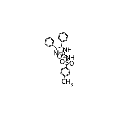 Cc1ccc(S(=O)(=O)NC(=O)N[C@@H](c2ccccc2)[C@@H](N)c2ccccc2)cc1